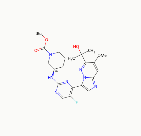 COc1cc2ncc(-c3nc(N[C@@H]4CCCN(C(=O)OC(C)(C)C)C4)ncc3F)n2nc1C(C)(C)O